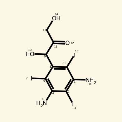 Nc1c(I)c(N)c(I)c(C(O)C(=O)CO)c1I